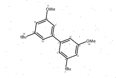 COc1cc(-c2[c]c(C(C)(C)C)cc(OC)c2)[c]c(C(C)(C)C)c1